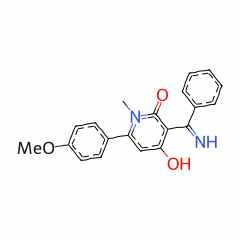 COc1ccc(-c2cc(O)c(C(=N)c3ccccc3)c(=O)n2C)cc1